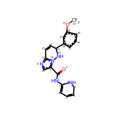 O=C(NC1=CC=CCN1)c1cnc2n1NC(c1cccc(OC(F)(F)F)c1)C=C2